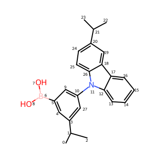 CC(C)c1cc(B(O)O)cc(-n2c3ccccc3c3cc(C(C)C)ccc32)c1